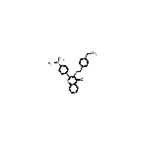 CCc1ccc(COc2c(-c3ccc(N(C)C)cc3)oc3ccccc3c2=O)cc1